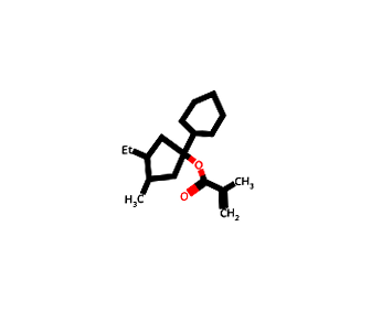 C=C(C)C(=O)OC1(C2CCCCC2)CC(C)C(CC)C1